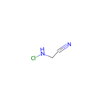 N#CCNCl